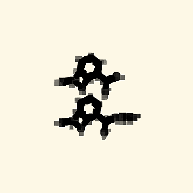 [N-]=[N+]1Oc2c(C(=O)[O-])cccc21.[N-]=[N+]1Oc2c(C(=O)[O-])cccc21.[Na+].[Na+]